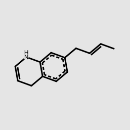 CC=CCc1ccc2c(c1)NC=CC2